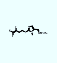 CON=Cc1cnc(SCCC(F)=C(F)F)n1C